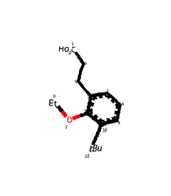 CCOc1c(CCC(=O)O)cccc1C(C)(C)C